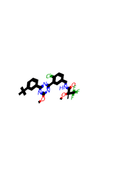 COc1nc(-c2cccc(C(C)(C)C)c2)nc(-c2cc(CNC(=O)[C@@](C)(OC)C(F)(F)F)ccc2Cl)n1